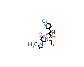 Cc1onc(-c2ccc(Cl)nc2)c1Cn1ncc(N2CC[C@@H]2C)cc1=O